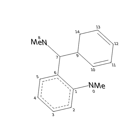 CNc1ccccc1C(NC)C1C=CC=CC1